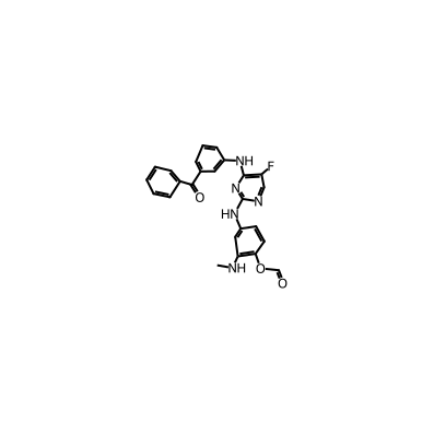 CNc1cc(Nc2ncc(F)c(Nc3cccc(C(=O)c4ccccc4)c3)n2)ccc1OC=O